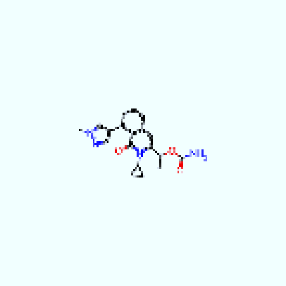 C[C@H](OC(N)=O)c1cc2cccc(-c3cnn(C)c3)c2c(=O)n1C1CC1